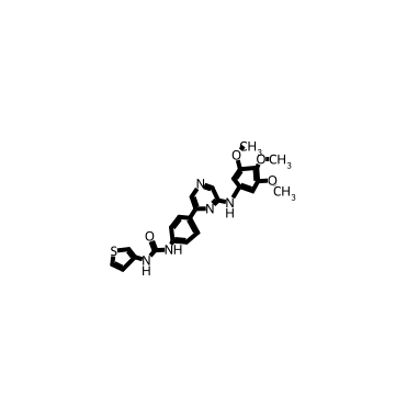 COc1cc(Nc2cncc(-c3ccc(NC(=O)Nc4ccsc4)cc3)n2)cc(OC)c1OC